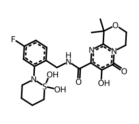 CC1(C)OCCn2c1nc(C(=O)NCc1ccc(F)cc1N1CCCCS1(O)O)c(O)c2=O